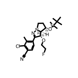 Cc1c(C2=NN3CC[C@H](O[Si](C)(C)C(C)(C)C)[C@H]3[C@@H]2OCCF)ccc(C#N)c1Cl